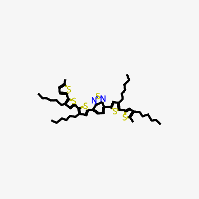 CCCCCCc1cc(-c2sc(-c3ccc(-c4cc(CCCCCC)c(-c5cc(CCCCCC)c(-c6ccc(C)s6)s5)s4)c4nsnc34)cc2CCCCCC)sc1C